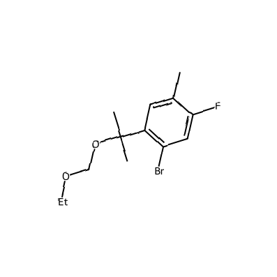 CCOCOC(C)(C)c1cc(C)c(F)cc1Br